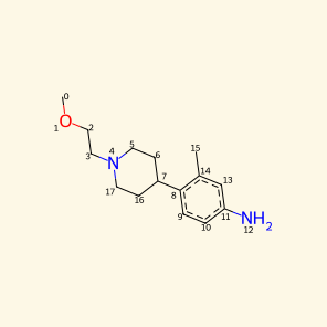 COCCN1CCC(c2ccc(N)cc2C)CC1